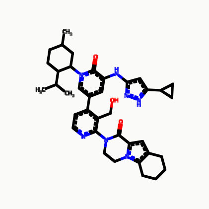 CC1CCC(C(C)C)C(n2cc(-c3ccnc(N4CCn5c(cc6c5CCCC6)C4=O)c3CO)cc(Nc3cc(C4CC4)[nH]n3)c2=O)C1